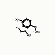 O=COc1ccc([N+](=O)[O-])cc1.OCCO